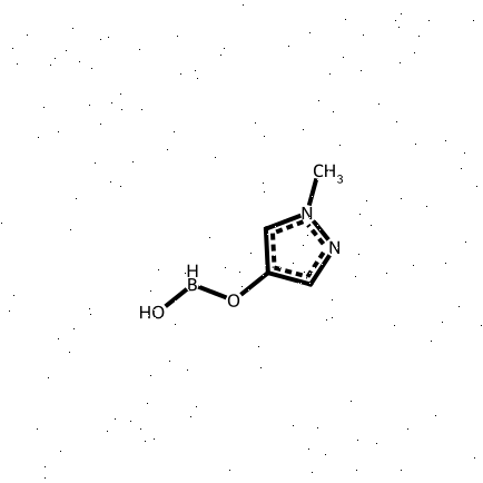 Cn1cc(OBO)cn1